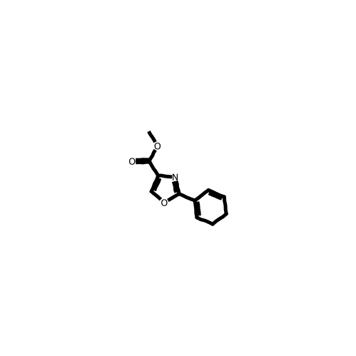 COC(=O)c1coc(C2=CCCC=C2)n1